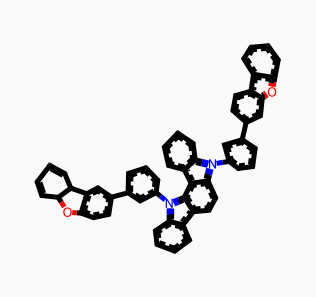 C1=CC2Oc3ccc(-c4cccc(-n5c6ccccc6c6ccc7c(c8ccccc8n7-c7cccc(-c8ccc9c(c8)oc8ccccc89)c7)c65)c4)cc3C2C=C1